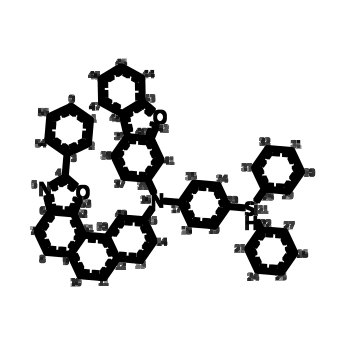 c1ccc(-c2nc3ccc4ccc5ccc(N(c6ccc([SiH](c7ccccc7)c7ccccc7)cc6)c6ccc7c(c6)oc6ccccc67)cc5c4c3o2)cc1